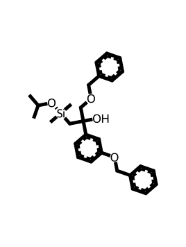 CC(C)O[Si](C)(C)CC(O)(COCc1ccccc1)c1cccc(OCc2ccccc2)c1